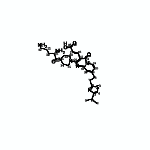 CC(C)c1csc(CCc2ccn3c(=O)c(/C=C/C(=O)O)c(N4CCN(C(=O)[C@@H](N)CCCN)CC4)nc3c2)n1